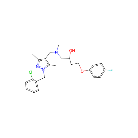 Cc1nn(Cc2ccccc2Cl)c(C)c1CN(C)CC(O)CCOc1ccc(F)cc1